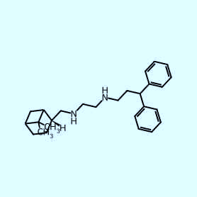 CC1(C)C2CC[C@@H](CNCCNCCC(c3ccccc3)c3ccccc3)C1C2